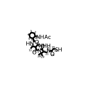 CC(=O)NC1CCCCC1C(=O)NC(C)C(CN)C(=O)N1C(=O)C(CNC(=O)CS)C1(C)C